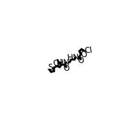 O=C(NCCCNC(=O)c1ccc(Cl)o1)c1cc(-c2cccs2)on1